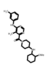 COC1CCCCC1NC1CCN(C(=O)c2ncnc(Nc3cccc(C)c3)c2C)CC1